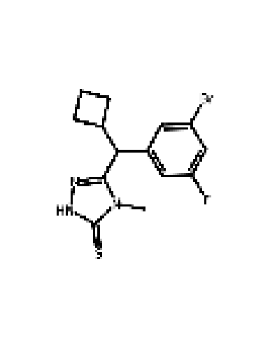 Cn1c(C(c2cc(F)cc(Br)c2)C2CCC2)n[nH]c1=S